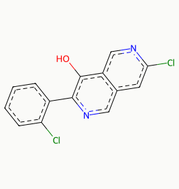 Oc1c(-c2ccccc2Cl)ncc2cc(Cl)ncc12